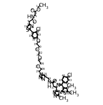 CCOC(=O)CNC(=O)Cc1csc(-c2ccc(OCCOCCOCCOCCn3cc(CNC(=O)CC4N=C(c5ccc(Cl)cc5)c5c(sc(C)c5C)-n5c(C)nnc54)nn3)cc2Cl)n1